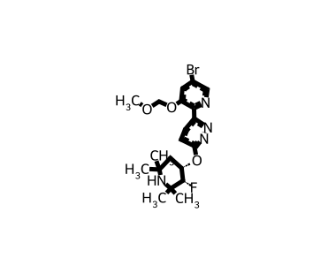 COCOc1cc(Br)cnc1-c1ccc(O[C@H]2CC(C)(C)NC(C)(C)[C@H]2F)nn1